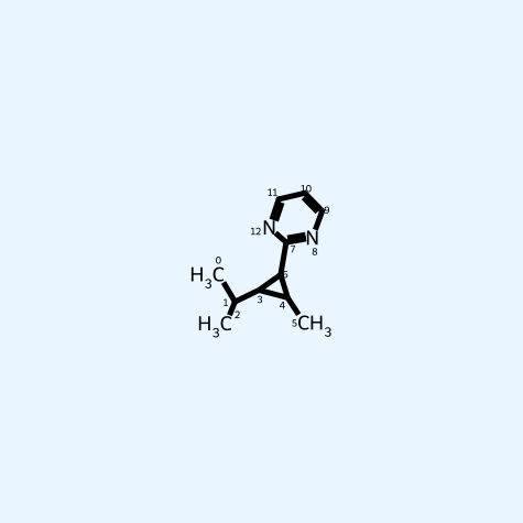 CC(C)C1C(C)C1c1ncccn1